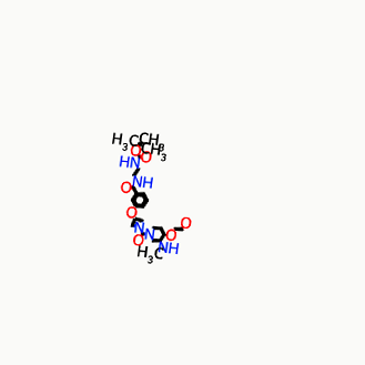 CN[C@@H]1CN(C(=O)N2CC(Oc3cccc(C(=O)NCCNC(=O)OC(C)(C)C)c3)C2)CC[C@@H]1OCC=O